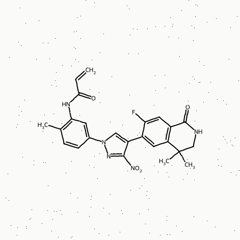 C=CC(=O)Nc1cc(-n2cc(-c3cc4c(cc3F)C(=O)NCC4(C)C)c([N+](=O)[O-])n2)ccc1C